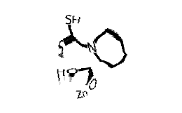 O=CO.S=C(S)N1CCCCC1.[Zn]